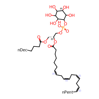 CCCCC/C=C\C/C=C\C/C=C\C/C=C\CCCCCC(=O)O[C@H](COC(=O)CCCCCCCCCCCCC)COP(=O)(O)OC1C(O)C(O)C(O)[C@@H](O)C1O